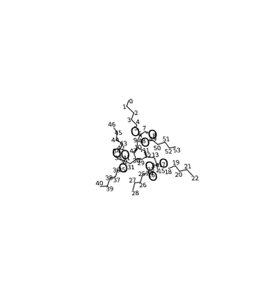 CCCCCOC(C=O)(Cc1[c]c(CC(C=O)(OCCCCC)OCCCCC)cc(CC(C=O)(OCCCCC)OCCCCC)c1)OCCCCC